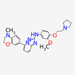 COc1cc(Nc2nc3cccc(-c4ccc5c(c4)OCCN5C)n3n2)ccc1OCCN1CCCC1